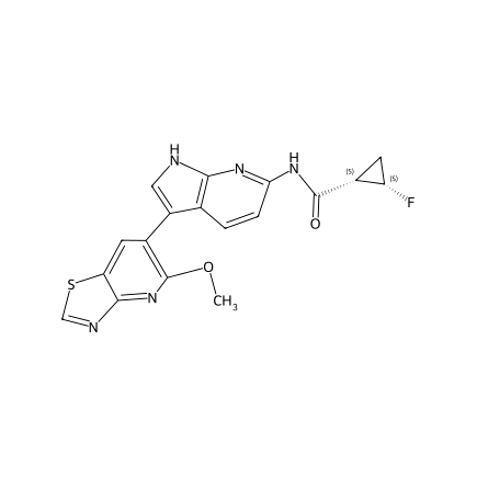 COc1nc2ncsc2cc1-c1c[nH]c2nc(NC(=O)[C@@H]3C[C@@H]3F)ccc12